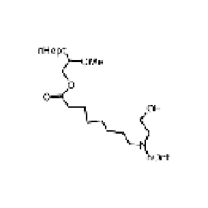 CCCCCCCCN(CCO)CCCCCCCC(=O)OCC(CCCCCCC)OC